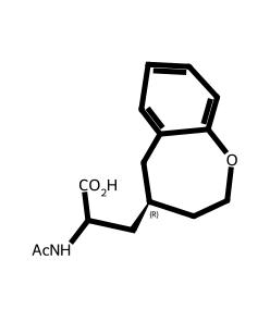 CC(=O)NC(C[C@@H]1CCOc2ccccc2C1)C(=O)O